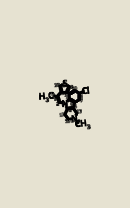 C/C(=C/n1c2c(c3cc(Cl)ccc31)CN(C)CC2)c1ccsc1